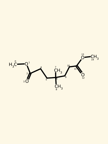 COC(=O)CCC(C)(C)CCC(=O)OC